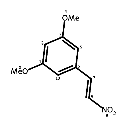 COc1[c]c(OC)cc(/C=C/[N+](=O)[O-])c1